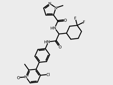 Cc1c(-c2ccc(NC(=O)C(NC(=O)c3ccnn3C)C3CCCC(F)(F)C3)cc2)c(Cl)cc[n+]1[O-]